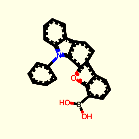 OB(O)c1cccc2c1oc1c2ccc2c3ccccc3n(-c3ccccc3)c21